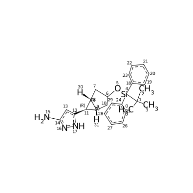 CC(C)(C)[Si](OC1C[C@@H]2[C@H](C1)[C@H]2c1cc(N)n[nH]1)(c1ccccc1)c1ccccc1